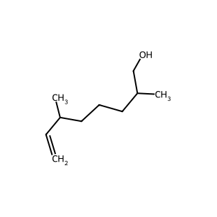 C=CC(C)CCCC(C)CO